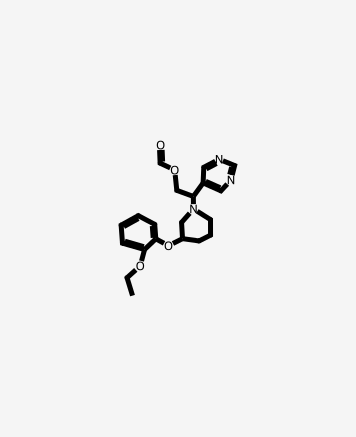 CCOc1ccccc1OC1CCCN(C(COC=O)c2cncnc2)C1